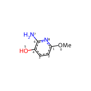 COc1ccc(O)c(N)n1